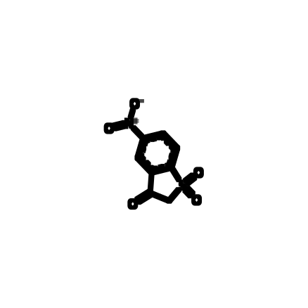 O=C1CS(=O)(=O)c2ccc([N+](=O)[O-])cc21